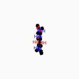 OC1=C(C2=CC=C3NC(N(c4ccccc4)c4ccc5ccccc5c4)=NC4C=CC=C2C34)C(O)=C1C1C=CC2=C3C(=CC=CC31)NC(c1ccc3c4c(cccc14)N=C(N(c1ccccc1)c1ccc4ccccc4c1)N3)=N2